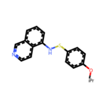 CC(C)Oc1ccc(SNc2cccc3cnccc23)cc1